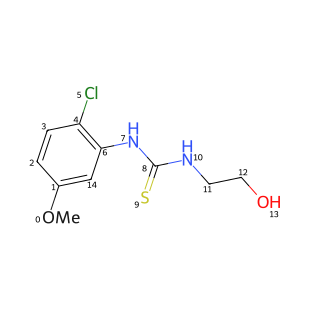 COc1ccc(Cl)c(NC(=S)NCCO)c1